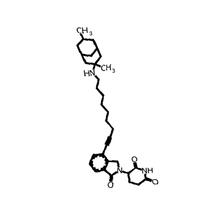 CC1CC2CC(C1)CC(C)(NCCCCCCCC#Cc1cccc3c1CN(C1CCC(=O)NC1=O)C3=O)C2